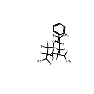 CC(F)C(F)(F)[C](F)(F)[Sn]([O]Cc1ccccc1)([C](F)(F)C(F)(F)C(C)F)[C](F)(F)C(F)(F)C(C)F